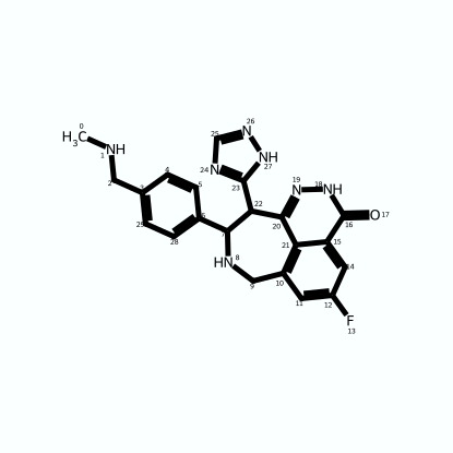 CNCc1ccc(C2NCc3cc(F)cc4c(=O)[nH]nc(c34)C2c2ncn[nH]2)cc1